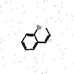 C/C=C\c1ccccc1Br